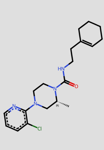 C[C@@H]1CN(c2ncccc2Cl)CCN1C(=O)NCCC1=CCCCC1